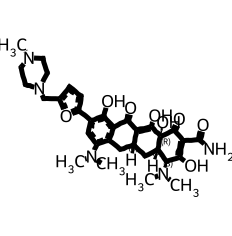 CN1CCN(Cc2ccc(-c3cc(N(C)C)c4c(c3O)C(=O)C3=C(O)[C@@]5(O)C(=O)C(C(N)=O)=C(O)[C@@H](N(C)C)[C@@H]5C[C@@H]3C4)o2)CC1